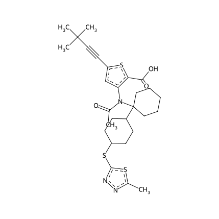 CC(=O)N(c1cc(C#CC(C)(C)C)sc1C(=O)O)C1(C2CCC(Sc3nnc(C)s3)CC2)CCCCC1